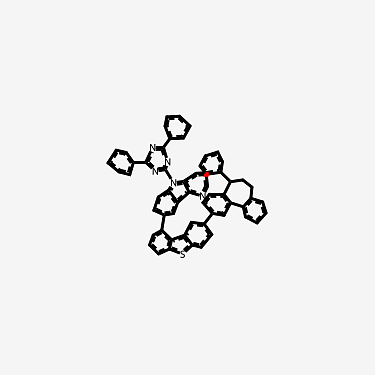 c1ccc(-c2nc(-c3ccccc3)nc(-n3c4ccc(-c5cccc6sc7ccc(-c8ccc9c(c8)-c8ccccc8CCC9c8ccccc8)cc7c56)cc4c4ncccc43)n2)cc1